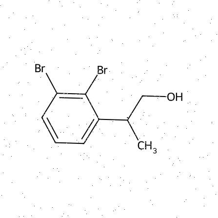 C[C](CO)c1cccc(Br)c1Br